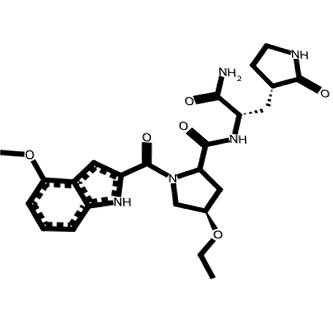 CCO[C@@H]1CC(C(=O)N[C@@H](C[C@@H]2CCNC2=O)C(N)=O)N(C(=O)c2cc3c(OC)cccc3[nH]2)C1